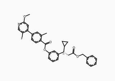 COc1cc(-c2ccc(C(=O)Oc3cccc([C@@H](CC(=O)OCc4ccccc4)C4CC4)c3)c(C)c2)c(F)cn1